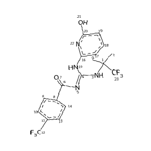 CC(C)(N/C(=N/C(=O)c1ccc(C(F)(F)F)cc1)Nc1cccc(O)n1)C(F)(F)F